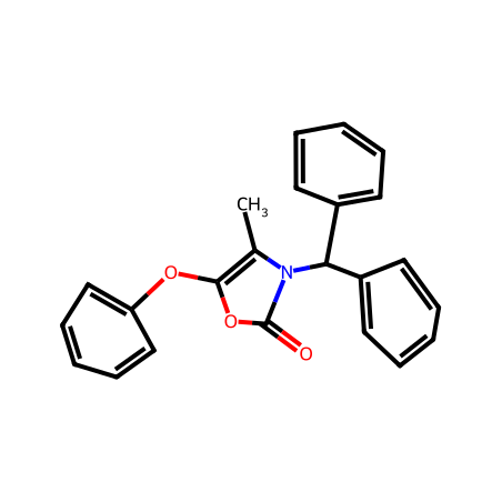 Cc1c(Oc2ccccc2)oc(=O)n1C(c1ccccc1)c1ccccc1